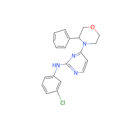 Clc1cccc(Nc2nccc(N3CCOCC3c3ccccc3)n2)c1